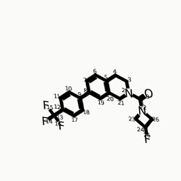 O=C(N1CCc2ccc(-c3ccc(C(F)(F)F)cc3)cc2C1)N1CC(F)C1